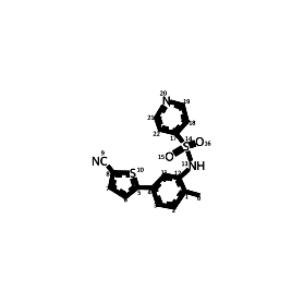 Cc1ccc(-c2ccc(C#N)s2)cc1NS(=O)(=O)c1ccncc1